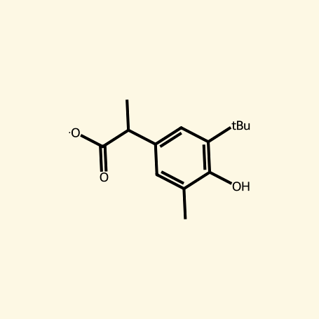 Cc1cc(C(C)C([O])=O)cc(C(C)(C)C)c1O